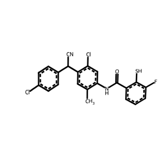 Cc1cc(C(C#N)c2ccc(Cl)cc2)c(Cl)cc1NC(=O)c1cccc(F)c1S